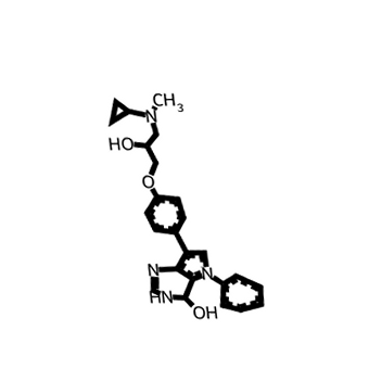 CN(CC(O)COc1ccc(-c2cn(-c3ccccc3)c3c2N=CNC3O)cc1)C1CC1